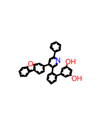 Oc1cc(O)cc(-c2ccccc2-c2cnc(-c3ccccc3)cc2-c2ccc3c(c2)oc2ccccc23)c1